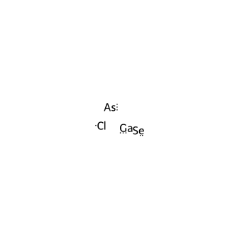 [As].[Cl].[Ga].[Se]